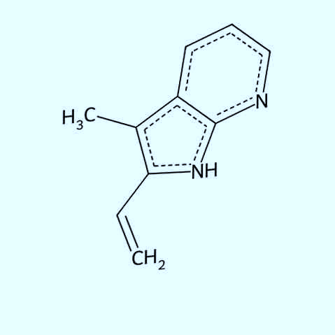 C=Cc1[nH]c2ncccc2c1C